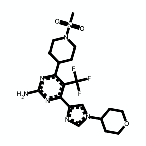 CS(=O)(=O)N1CCC(c2nc(N)nc(-c3cn(C4CCOCC4)cn3)c2C(F)(F)F)CC1